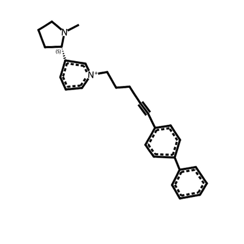 CN1CCC[C@H]1c1ccc[n+](CCCC#Cc2ccc(-c3ccccc3)cc2)c1